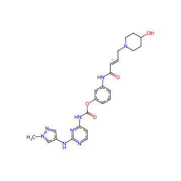 Cn1cc(Nc2nccc(NC(=O)Oc3cccc(NC(=O)/C=C/CN4CCC(O)CC4)c3)n2)cn1